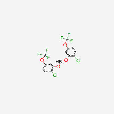 FC(F)(F)Oc1ccc(Cl)c(OBOc2cc(OC(F)(F)F)ccc2Cl)c1